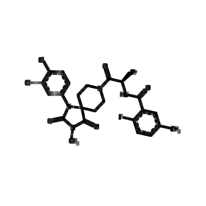 Cc1ccc(F)c(C(=O)N[C@@H](C(=O)N2CCC3(CC2)C(=O)N(C)C(=O)N3c2ccc(Cl)c(Cl)c2)C(C)C)c1